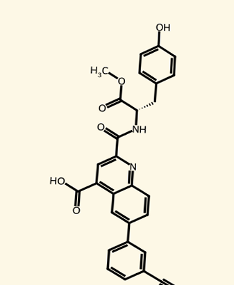 COC(=O)[C@H](Cc1ccc(O)cc1)NC(=O)c1cc(C(=O)O)c2cc(-c3cccc(C#N)c3)ccc2n1